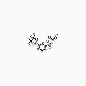 COC(=O)CS(=O)(=O)c1cccc(B2OC(C)(C)C(C)(C)O2)c1